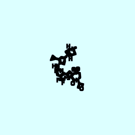 CN1C[C@@H]2C[C@H]1CN2c1ccc(Nc2ncc(C(F)(F)F)c(-c3cc4c(s3)C(=O)N(C3COC3)CCS4(=O)=O)n2)c(C2CC2)c1